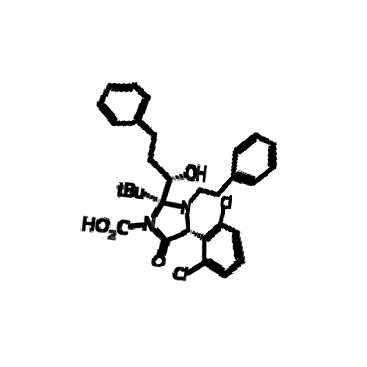 CC(C)(C)[C@@]1([C@@H](O)CCc2ccccc2)N(C(=O)O)C(=O)[C@@H](c2c(Cl)cccc2Cl)N1CCc1ccccc1